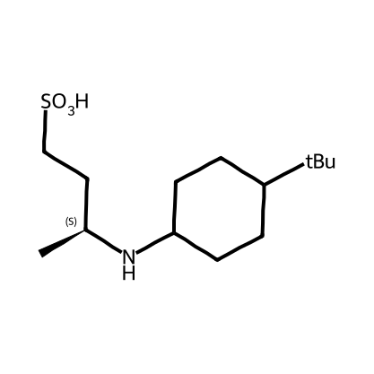 C[C@@H](CCS(=O)(=O)O)NC1CCC(C(C)(C)C)CC1